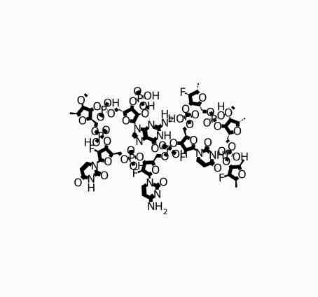 CO[C@H]1C(OP(=O)(O)OC[C@H]2O[C@@H](C)[C@@H](F)C2OP(=O)(O)OC[C@H]2O[C@@H](n3ccc(=O)[nH]c3=O)[C@@H](F)C2OP(=O)(O)OC[C@H]2O[C@@H](n3ccc(N)nc3=O)[C@@H](F)C2OP(=O)(O)OC[C@H]2O[C@@H](n3ccc(=O)[nH]c3=O)[C@@H](F)C2OP(=O)(O)OC[C@H]2O[C@@H](C)[C@@H](OC)C2OP(=O)(O)OC[C@H]2O[C@@H](n3cnc4c(=O)[nH]c(N)nc43)[C@@H](OC)C2OP(=O)(O)O)[C@@H](COP(=O)(O)OC2[C@@H](C)O[C@@H](C)[C@H]2F)O[C@H]1C